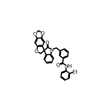 CCc1ccccc1NC(=O)c1cccc(CN2C(=O)C3(COc4cc5c(cc43)OCO5)c3ccccc32)c1